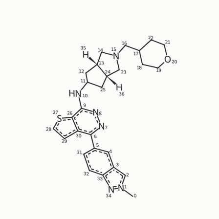 Cn1cc2cc(-c3nnc(NC4C[C@@H]5CN(CC6CCOCC6)C[C@@H]5C4)c4sccc34)ccc2n1